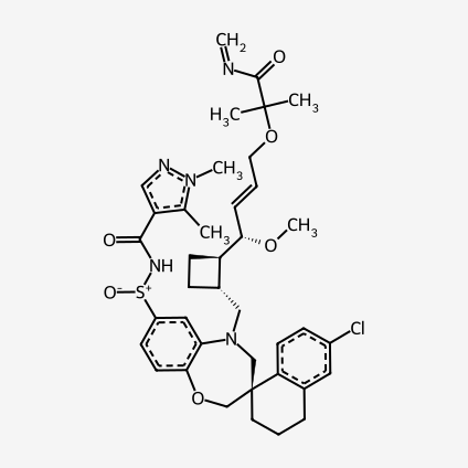 C=NC(=O)C(C)(C)OC/C=C/[C@H](OC)[C@@H]1CC[C@H]1CN1C[C@@]2(CCCc3cc(Cl)ccc32)COc2ccc([S+]([O-])NC(=O)c3cnn(C)c3C)cc21